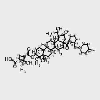 CC(C)C1=C2[C@H]3CC[C@@H]4[C@@]5(C)CC[C@H](OC(=O)[C@H]6C[C@@H](C(=O)O)C6(C)C)C(C)(C)[C@@H]5CC[C@@]4(C)[C@]3(C)CC[C@@]2(C(=O)N2CCC[C@H]2CN2CCC(F)CC2)CC1=O